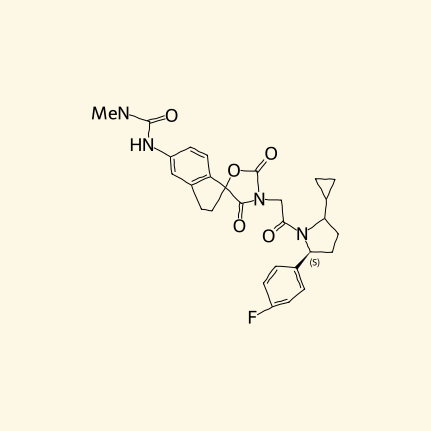 CNC(=O)Nc1ccc2c(c1)CCC21OC(=O)N(CC(=O)N2C(C3CC3)CC[C@H]2c2ccc(F)cc2)C1=O